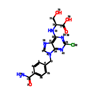 NC(=O)c1ccc(Cn2cnc3c(N[C@@H](CO)C(=O)O)nc(Cl)nc32)cc1